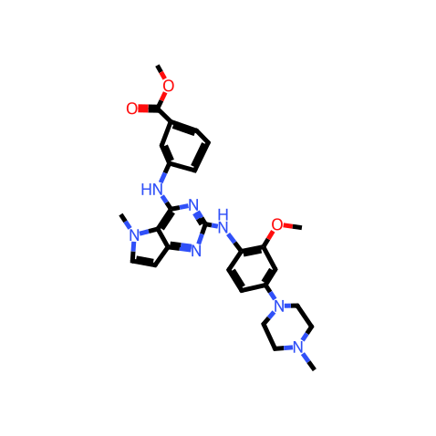 COC(=O)c1cccc(Nc2nc(Nc3ccc(N4CCN(C)CC4)cc3OC)nc3ccn(C)c23)c1